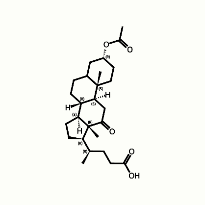 CC(=O)O[C@@H]1CC[C@@]2(C)C(CC[C@H]3[C@@H]4CC[C@H]([C@H](C)CCC(=O)O)[C@@]4(C)C(=O)C[C@@H]32)C1